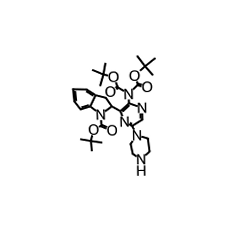 CC(C)(C)OC(=O)N(C(=O)OC(C)(C)C)c1ncc(N2CCNCC2)nc1C1Cc2ccccc2N1C(=O)OC(C)(C)C